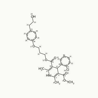 COC(=O)C1=C(C)NC(C)=C(C(=O)OCCCOc2ccc(CCO)cc2)C1c1ccccc1Cl